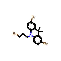 CC1(C)c2cc(Br)ccc2N(CCCBr)c2ccc(Br)cc21